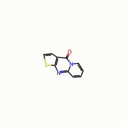 O=c1c2ccsc2nc2ccccn12